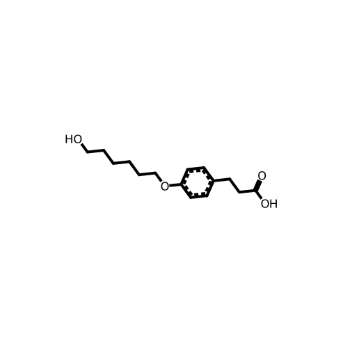 O=C(O)CCc1ccc(OCCCCCCO)cc1